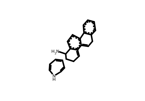 C1=CC=CNC=C1.NC1CCC=c2c1ccc1c2=CCc2ccccc2-1